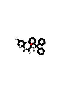 CN1C(=O)[C@@H](NC(c2ccccc2)(c2ccccc2)c2ccccc2)COc2cc(Cl)cnc21